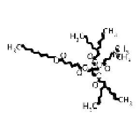 CCCCCCCCCCOC(=O)CCCCC(=O)OCC(COC(=O)CCCN(C)C)(COC(=O)CC(CCCCC)CCCCC)COC(=O)CC(CCCCC)CCCCC